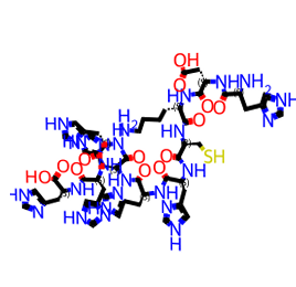 NCCCC[C@H](NC(=O)[C@H](CC(=O)O)NC(=O)[C@@H](N)Cc1c[nH]cn1)C(=O)N[C@@H](CS)C(=O)N[C@@H](Cc1c[nH]cn1)C(=O)N[C@@H](Cc1c[nH]cn1)C(=O)N[C@@H](Cc1c[nH]cn1)C(=O)N[C@@H](Cc1c[nH]cn1)C(=O)N[C@@H](Cc1c[nH]cn1)C(=O)N[C@@H](Cc1c[nH]cn1)C(=O)O